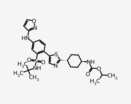 CC(C)OC(=O)N[C@H]1CC[C@H](c2ncc(-c3ccc(Nc4ccon4)cc3S(=O)(=O)NC(C)(C)C)s2)CC1